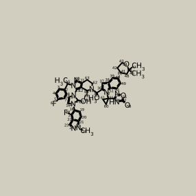 C[C@H](c1ccc(F)cc1)n1nc2c(c1N1C=CN(c3ccc4c(cnn4C)c3F)C1O)[C@H](C)N(C(=O)c1cc3cc([C@@H]4CCOC(C)(C)C4)ccc3n1C1(c3noc(=O)[nH]3)CC1)CC2